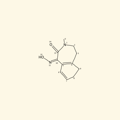 CN1CCC2=C(C=CCC2)/C(=N/O)C1=O